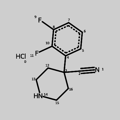 Cl.N#CC1(c2cccc(F)c2F)CCNCC1